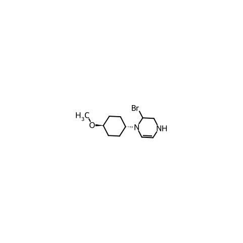 CO[C@H]1CC[C@H](N2C=CNCC2Br)CC1